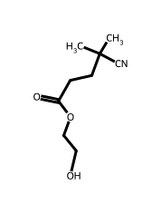 CC(C)(C#N)CCC(=O)OCCO